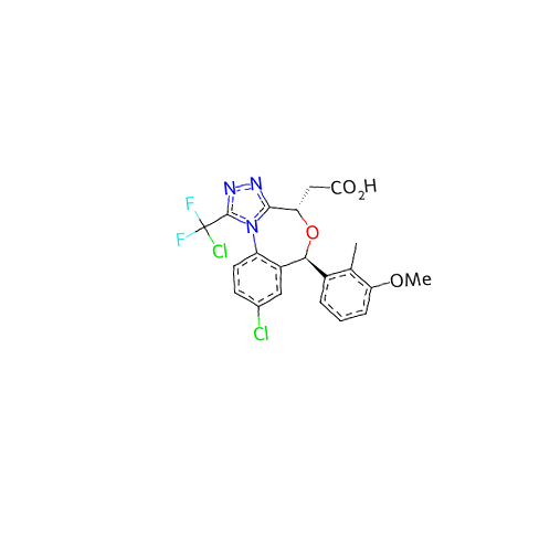 COc1cccc([C@@H]2O[C@@H](CC(=O)O)c3nnc(C(F)(F)Cl)n3-c3ccc(Cl)cc32)c1C